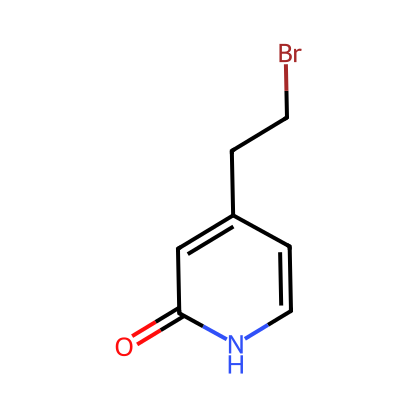 O=c1cc(CCBr)cc[nH]1